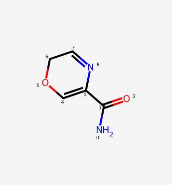 NC(=O)C1=COCC=N1